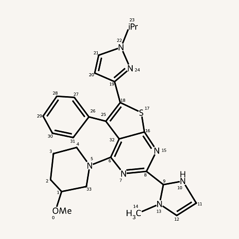 COC1CCCN(c2nc(C3NC=CN3C)nc3sc(-c4ccn(C(C)C)n4)c(-c4ccccc4)c23)C1